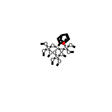 CO[Si](OC)(OC)O[Si](O[Si](OC)(OC)OC)(O[Si](OC)(OC)OC)C1CC2C=CC1C2